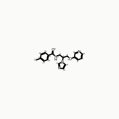 O=C(NCC(COc1cccnc1)n1ccnc1)c1ccc(I)cc1